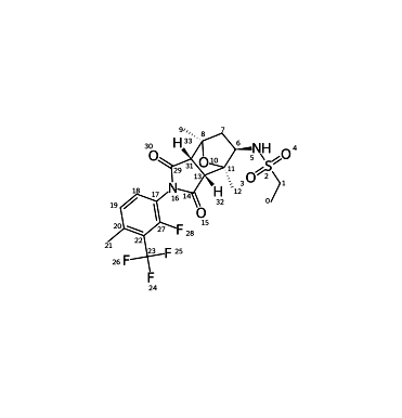 CCS(=O)(=O)N[C@@H]1C[C@@]2(C)O[C@]1(C)[C@@H]1C(=O)N(c3ccc(C)c(C(F)(F)F)c3F)C(=O)[C@@H]12